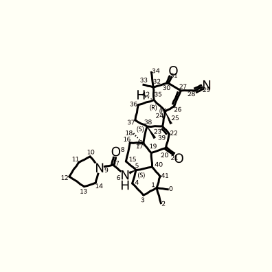 CC1(C)CC[C@]2(NC(=O)N3CCCCC3)CC[C@]3(C)C(C(=O)C=C4[C@@]5(C)C=C(C#N)C(=O)C(C)(C)[C@@H]5CC[C@]43C)C2C1